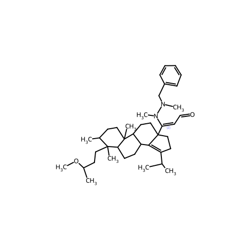 COC(C)CCC1(C)C(C)CCC2(C)C3CCC4(/C(=C/C=O)N(C)N(C)Cc5ccccc5)CCC(C(C)C)=C4C3CCC12